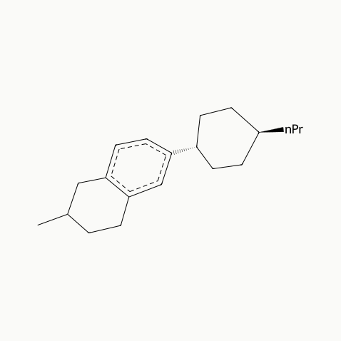 CCC[C@H]1CC[C@H](c2ccc3c(c2)CCC(C)C3)CC1